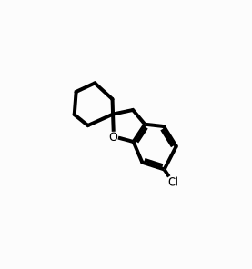 Clc1ccc2c(c1)OC1(CCCCC1)C2